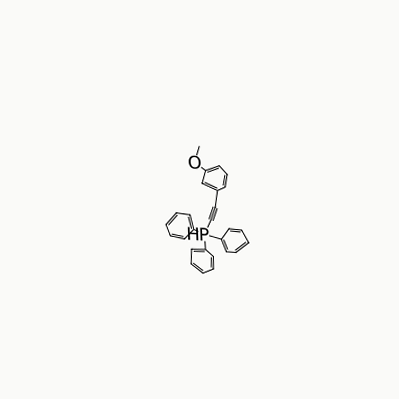 COc1cccc(C#C[PH](c2ccccc2)(c2ccccc2)c2ccccc2)c1